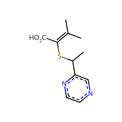 CC(C)=C(SC(C)c1cnccn1)C(=O)O